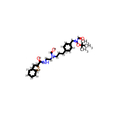 CC(C)(C)ON(C=O)Cc1ccc(CCCN(C=O)CCNC(=O)c2cc3ccccc3s2)cc1